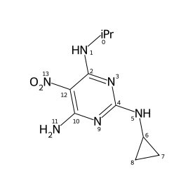 CC(C)Nc1nc(NC2CC2)nc(N)c1[N+](=O)[O-]